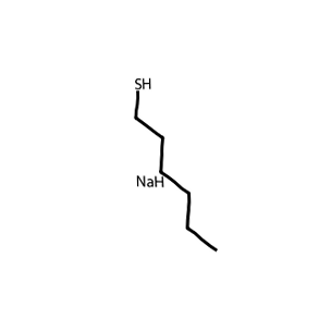 CCCCCCS.[NaH]